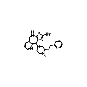 CC(C)c1nc2c(s1)NC=c1cccnc1=C2N1CCN(C)C(CCc2ccccc2)C1